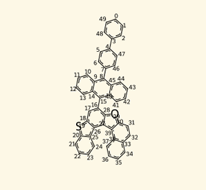 c1ccc(-c2ccc(-c3c4ccccc4c(-c4cc5sc6ccccc6c5c5c4oc4ccc6ccccc6c45)c4ccccc34)cc2)cc1